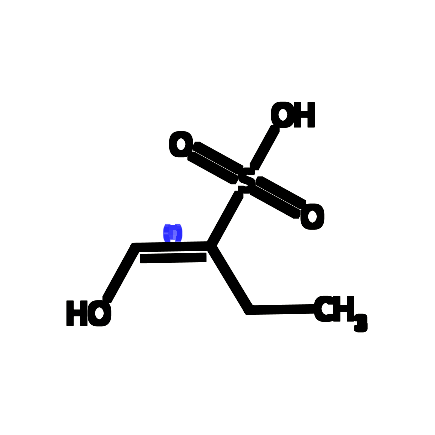 CC/C(=C\O)S(=O)(=O)O